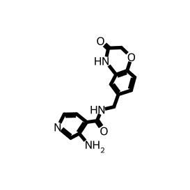 Nc1cnccc1C(=O)NCc1ccc2c(c1)NC(=O)CO2